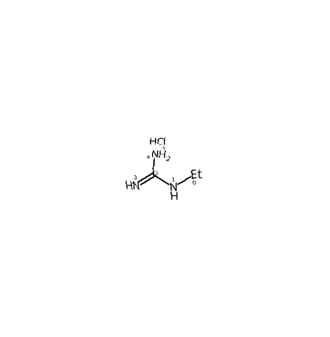 CCNC(=N)N.Cl